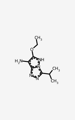 CCOc1[nH]n2c(C(C)C)nnc2c1N